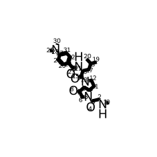 CNCC(=O)N1CC(=O)C2C1CCN2C(=O)C(CC(C)C)NC(=O)c1ccc(N(C)C)cc1